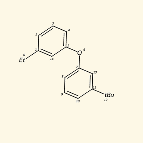 CCc1cccc(Oc2cccc(C(C)(C)C)c2)c1